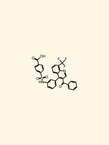 O=C(O)c1ccc(S(=O)(=O)Nc2cccc(-c3c(C(=O)c4ccccc4)cnc4c(C(F)(F)F)cccc34)c2)cc1